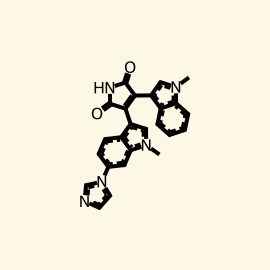 Cn1cc(C2=C(c3cn(C)c4cc(-n5ccnc5)ccc34)C(=O)NC2=O)c2ccccc21